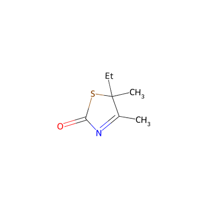 CCC1(C)SC(=O)N=C1C